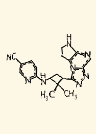 CC1(C)[C@@H](Nc2ccc(C#N)cn2)C[C@H]1c1nnc2cnc3c(n12)CCN3